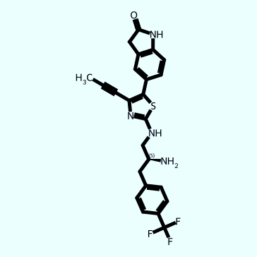 CC#Cc1nc(NC[C@@H](N)Cc2ccc(C(F)(F)F)cc2)sc1-c1ccc2c(c1)CC(=O)N2